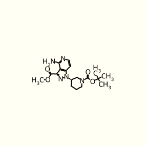 COC(=O)c1nn([C@@H]2CCCN(C(=O)OC(C)(C)C)C2)c2ccnc(N)c12